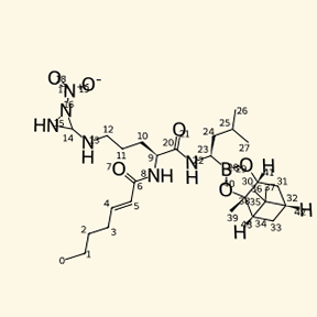 CCCCC=CC(=O)N[C@@H](CCCNC1NN1[N+](=O)[O-])C(=O)N[C@@H](CC(C)C)B1O[C@@H]2C[C@@H]3C[C@@H](C3(C)C)[C@]2(C)O1